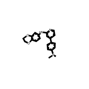 CN(C)c1ccc(-c2ccnc(Nc3ccc4c(c3)OCCO4)c2)cc1